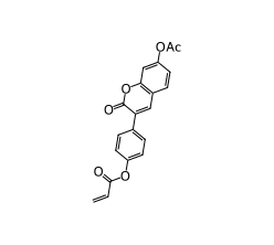 C=CC(=O)Oc1ccc(-c2cc3ccc(OC(C)=O)cc3oc2=O)cc1